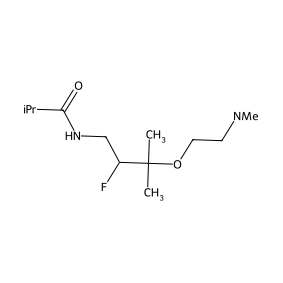 CNCCOC(C)(C)C(F)CNC(=O)C(C)C